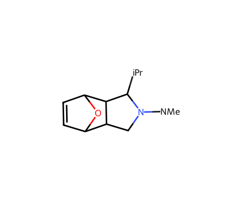 CNN1CC2C3C=CC(O3)C2C1C(C)C